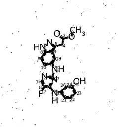 COC(=O)Cc1n[nH]c2ccc(Nc3ncc(F)c(Nc4cccc(O)c4)n3)cc12